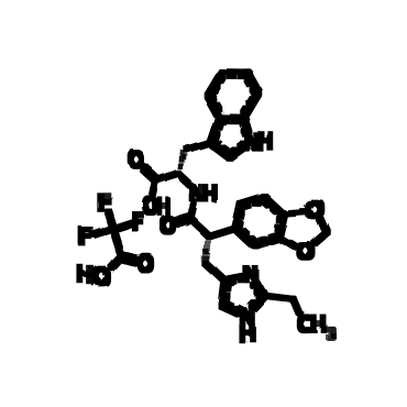 CCc1nc(C[C@H](C(=O)N[C@@H](Cc2c[nH]c3ccccc23)C(=O)O)c2ccc3c(c2)OCO3)c[nH]1.O=C(O)C(F)(F)F